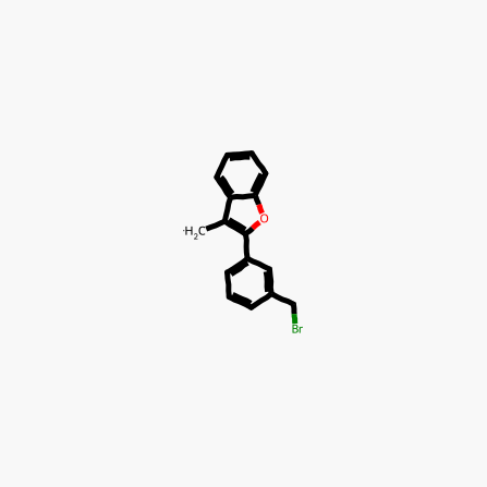 [CH2]c1c(-c2cccc(CBr)c2)oc2ccccc12